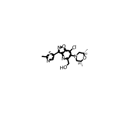 Cc1ncc(-c2noc3c(Cl)c(N4C[C@@H](C)O[C@@H](C)C4)c(CO)nc23)s1